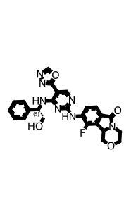 O=C1c2ccc(Nc3ncc(-c4nnco4)c(N[C@H](CO)c4ccccc4)n3)c(F)c2C2COCCN12